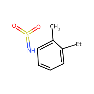 CCc1ccccc1C.N=S(=O)=O